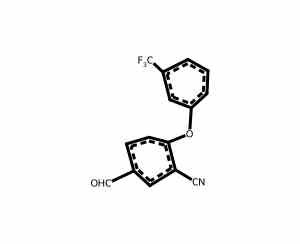 N#Cc1cc(C=O)ccc1Oc1cccc(C(F)(F)F)c1